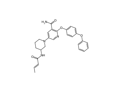 C/C=C/C(=O)NC1CCCN(c2cnc(Oc3ccc(Oc4ccccc4)cc3)c(C(N)=O)c2)C1